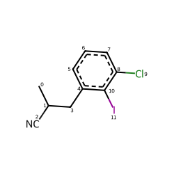 CC(C#N)Cc1cccc(Cl)c1I